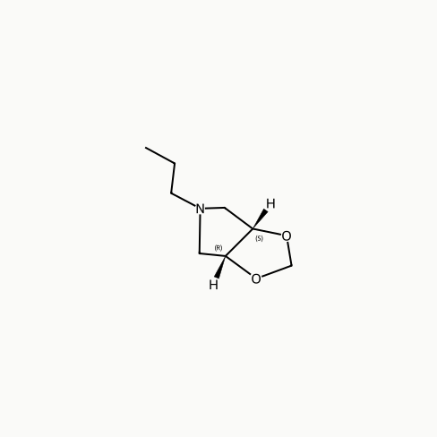 CCCN1C[C@@H]2OCO[C@@H]2C1